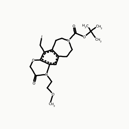 COCCN1C(=O)COc2c1cc1c(c2CI)CCN(C(=O)OC(C)(C)C)CC1